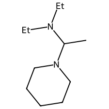 CCN(CC)C(C)N1CCCCC1